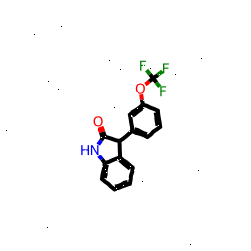 O=C1Nc2ccccc2C1c1cccc(OC(F)(F)F)c1